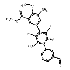 Bc1c(F)c(-c2cc(N)c(NC)c(C(=O)OC)c2)c(F)c(F)c1-c1cccc(C=O)c1